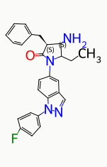 CCC1[C@@H](N)[C@H](Cc2ccccc2)C(=O)N1c1ccc2c(cnn2-c2ccc(F)cc2)c1